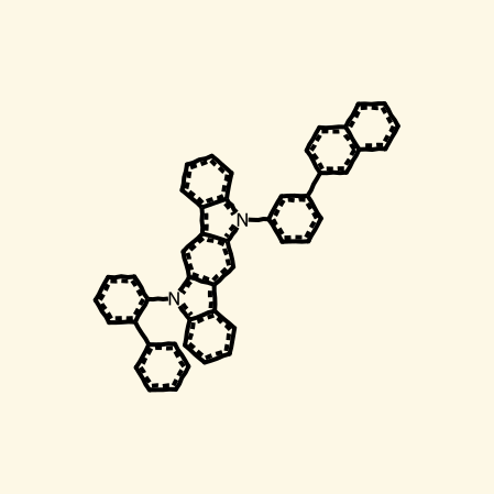 c1ccc(-c2ccccc2-n2c3ccccc3c3cc4c(cc32)c2ccccc2n4-c2cccc(-c3ccc4ccccc4c3)c2)cc1